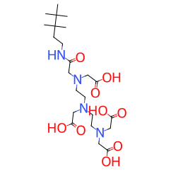 CC(C)(C)C(C)(C)CCNC(=O)CN(CCN(CCN(CC(=O)O)CC(=O)O)CC(=O)O)CC(=O)O